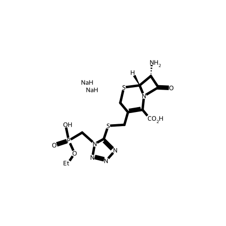 CCOP(=O)(O)Cn1nnnc1SCC1=C(C(=O)O)N2C(=O)[C@@H](N)[C@H]2SC1.[NaH].[NaH]